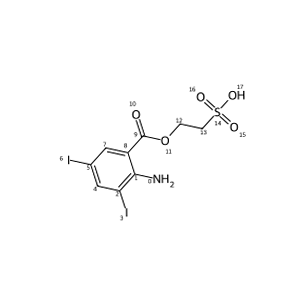 Nc1c(I)cc(I)cc1C(=O)OCCS(=O)(=O)O